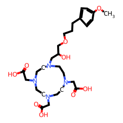 COc1ccc(CCCOCC(O)CN2CCN(CC(=O)O)CCN(CC(=O)O)CCN(CC(=O)O)CC2)cc1